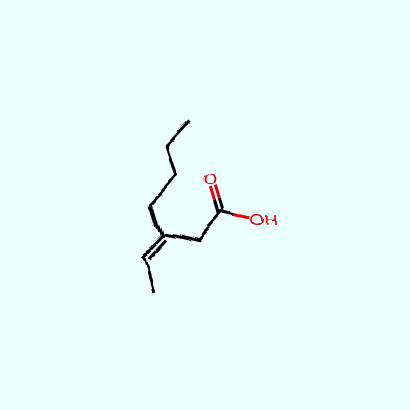 CC=C(CCCC)CC(=O)O